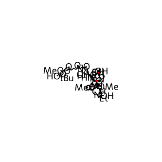 CCC1(O)C[C@H]2C[N@](CCc3c([nH]c4ccccc34)[C@@](C(=O)OC)(c3cc4c(cc3OC)N(NCCCOC(=O)C(C)NC(=O)CCCC(=O)OCC(OC)OC(CO)C(C)(C)C)C3[C@]45CCN4CC=C[C@](CC)(C45)[C@@H](O)[C@]3(O)C=O)C2)C1